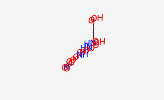 O=C(O)CCCCCCCCCCCCCCCCC(=O)NC(CCC(=O)NCCOCCOCC(=O)NCCOCCOCC(=O)Oc1ccc([N+](=O)[O-])cc1)C(=O)O